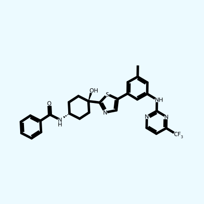 Cc1cc(Nc2nccc(C(F)(F)F)n2)cc(-c2cnc([C@]3(O)CC[C@H](NC(=O)c4ccccc4)CC3)s2)c1